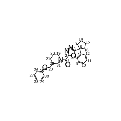 O=C(c1nnc(C2(c3ccccc3)CCCC2)o1)N1CCCC(COc2ccccc2)C1